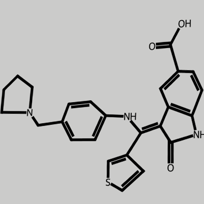 O=C1Nc2ccc(C(=O)O)cc2C1=C(Nc1ccc(CN2CCCC2)cc1)c1ccsc1